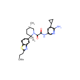 COCCc1nc2cc([C@]3(C)CC[C@H](C)CN3C(=O)C(=O)Nc3cnc(N)c(C4CC4)c3)ccc2s1